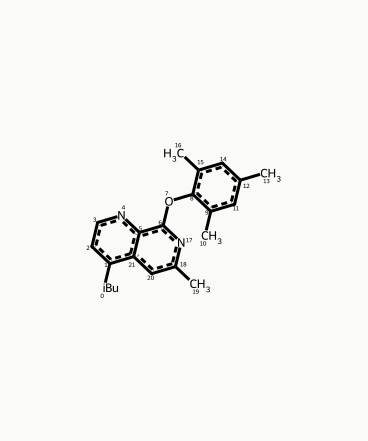 CCC(C)c1ccnc2c(Oc3c(C)cc(C)cc3C)nc(C)cc12